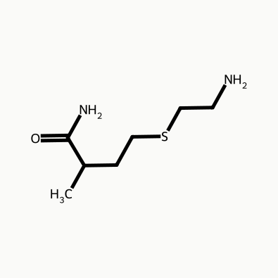 CC(CCSCCN)C(N)=O